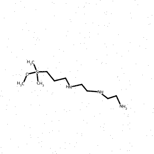 CO[Si](C)(C)CCCNCCNCCN